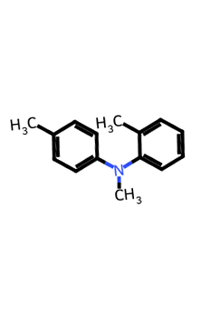 Cc1ccc(N(C)c2ccccc2C)cc1